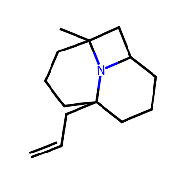 C=CCC12CCCC3CC(C)(CCC1)N32